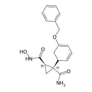 NC(=O)[C@]1(C2C=CC=C(OCc3ccccc3)C2)C[C@H]1C(=O)NO